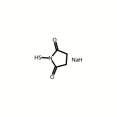 O=C1CCC(=O)N1S.[NaH]